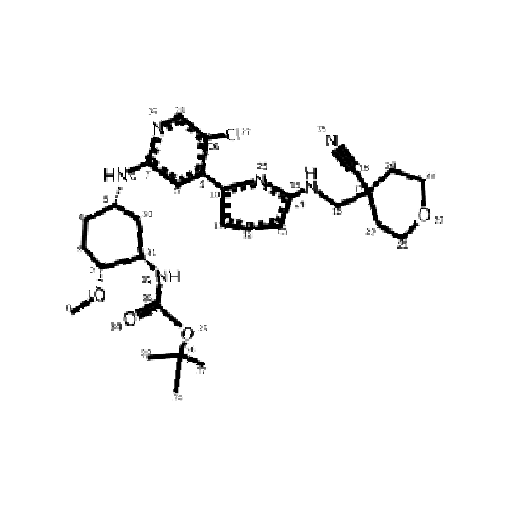 CO[C@@H]1CC[C@H](Nc2cc(-c3cccc(NCC4(C#N)CCOCC4)n3)c(Cl)cn2)C[C@H]1NC(=O)OC(C)(C)C